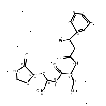 CCC(CC(=O)N[C@@H](CC(C)(C)C)C(=O)NC(C=O)C[C@@H]1CCNC1=O)c1ccccc1